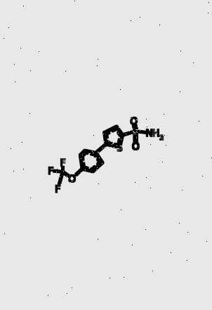 NS(=O)(=O)c1ccc(-c2ccc(OC(F)(F)F)cc2)s1